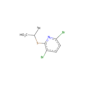 [2H]C(Sc1nc(Br)ccc1Br)C(=O)O